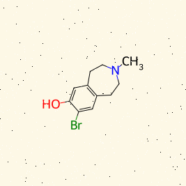 CN1CCc2cc(O)c(Br)cc2CC1